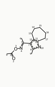 CC(=O)O/N=C(\C)c1c(C)nn2c1CCCCC2